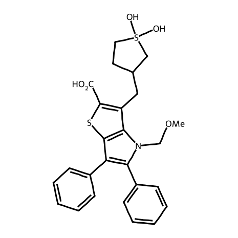 COCn1c(-c2ccccc2)c(-c2ccccc2)c2sc(C(=O)O)c(CC3CCS(O)(O)C3)c21